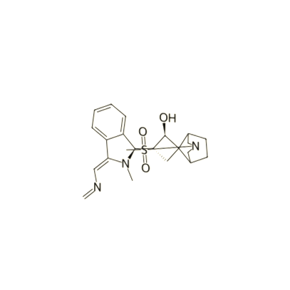 C=N/C=C1/c2ccccc2[C@@H]([C@H]2CC3(C4CCC3CN(S(C)(=O)=O)C4)[C@@H]2O)N1C